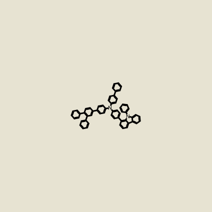 c1ccc(-c2ccc(N(c3ccc(-c4ccc(-c5ccccc5)c(-c5ccccc5)c4)cc3)c3ccc(-c4cccc5c6ccccc6n(-c6ccccc6)c45)cc3)cc2)cc1